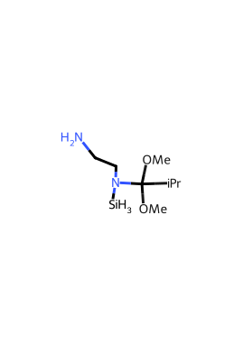 COC(OC)(C(C)C)N([SiH3])CCN